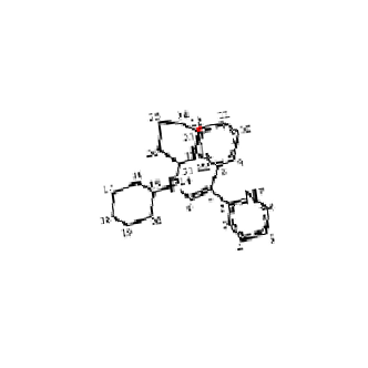 C(=C(c1ccccn1)c1ccccn1)P(C1CCCCC1)C1CCCCC1